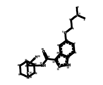 CN(C)CCOc1ccc2[nH]nc(C(=O)N[C@@H]3CN4CCC3CC4)c2c1